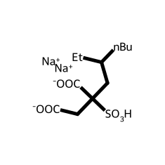 CCCCC(CC)CC(CC(=O)[O-])(C(=O)[O-])S(=O)(=O)O.[Na+].[Na+]